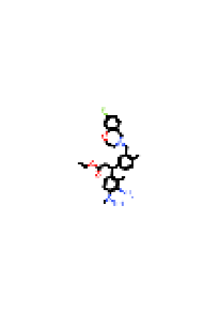 CCOC(=O)CC(c1ccc(C)c(CN2CCOc3cc(F)ccc3C2)c1)c1ccc(N(C)N)c(N)c1C